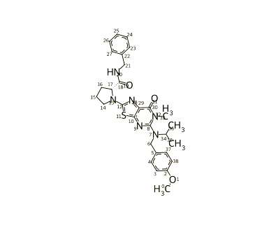 COc1ccc(CN(c2nc3sc(N4CCC[C@@H]4C(=O)NCc4ccccc4)nc3c(=O)n2C)C(C)C)cc1